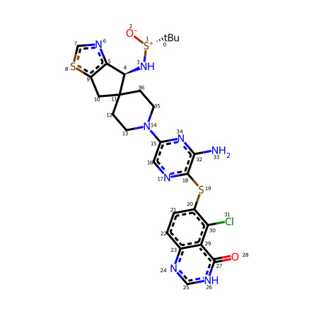 CC(C)(C)[S@@+]([O-])N[C@@H]1c2ncsc2CC12CCN(c1cnc(Sc3ccc4nc[nH]c(=O)c4c3Cl)c(N)n1)CC2